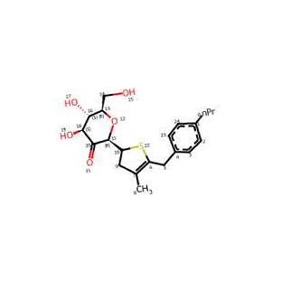 CCCc1ccc(CC2=C(C)CC([C@@H]3O[C@H](CO)[C@@H](O)[C@H](O)C3=O)S2)cc1